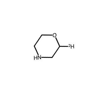 [2H]C1CNCCO1